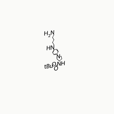 CC(C)(C)OC(=O)NC1CCN(c2ccc(NCCCCCN)cc2)C1